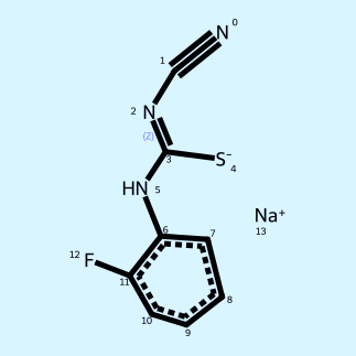 N#C/N=C(\[S-])Nc1ccccc1F.[Na+]